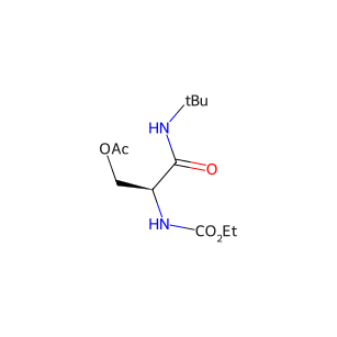 CCOC(=O)N[C@@H](COC(C)=O)C(=O)NC(C)(C)C